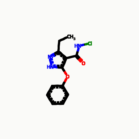 CCc1n[nH]c(Oc2ccccc2)c1C(=O)NCl